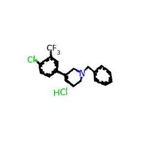 Cl.FC(F)(F)c1cc(C2=CCCN(Cc3ccccc3)C2)ccc1Cl